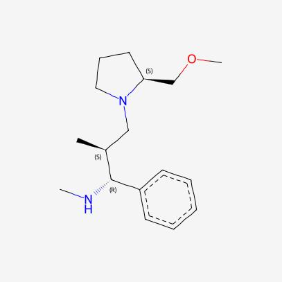 CN[C@@H](c1ccccc1)[C@@H](C)CN1CCC[C@H]1COC